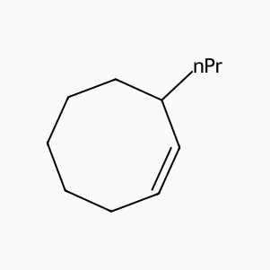 CCCC1C=CCCCCC1